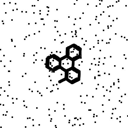 Cc1cccc2c3ncccc3c3cccnc3c12